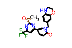 C[S+]([O-])c1nc(-c2ccc(=O)n(Cc3ccc4c(c3)OCCN4)c2)cc(C(F)(F)F)n1